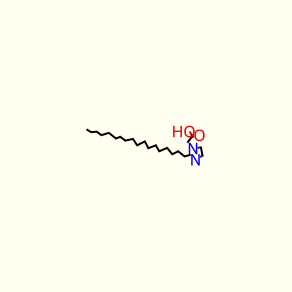 CCCCCCCCCCCCCCCCCCC1=NCCN1CC(=O)O